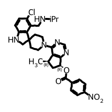 CC(C)NCc1c(Cl)ccc2c1C1(CCN(c3ncnc4c3[C@H](C)C[C@H]4OC(=O)c3ccc([N+](=O)[O-])cc3)CC1)CN2